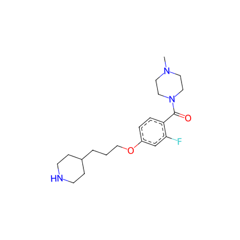 CN1CCN(C(=O)c2ccc(OCCCC3CCNCC3)cc2F)CC1